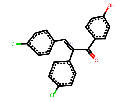 O=C(/C(=C/c1ccc(Cl)cc1)c1ccc(Cl)cc1)c1ccc(O)cc1